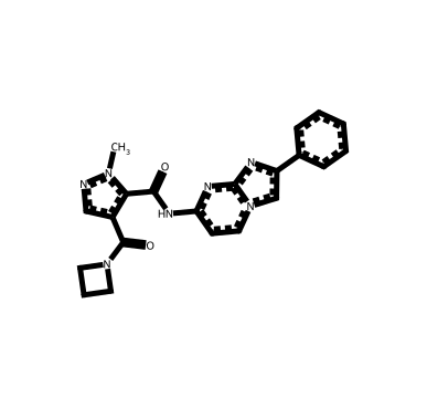 Cn1ncc(C(=O)N2CCC2)c1C(=O)Nc1ccn2cc(-c3ccccc3)nc2n1